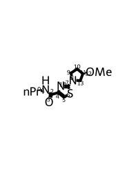 CCCNC(=O)c1csc(N2CC[C@H](OC)C2)n1